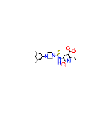 CCc1nc(OC)c(NC(=S)N2CCN(c3cc(C)cc(C)c3)CC2)cc1C(=O)OC